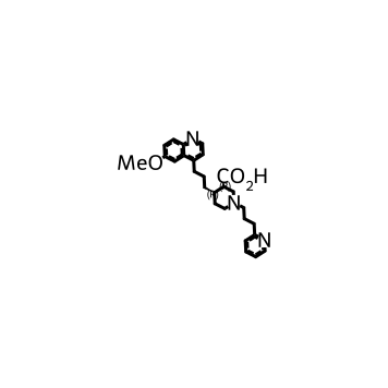 COc1ccc2nccc(CCC[C@@H]3CCN(CCCc4ccccn4)C[C@@H]3C(=O)O)c2c1